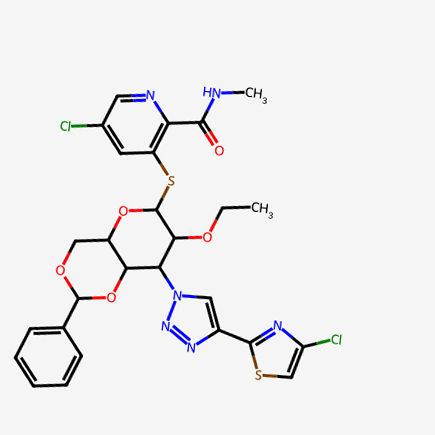 CCOC1C(Sc2cc(Cl)cnc2C(=O)NC)OC2COC(c3ccccc3)OC2C1n1cc(-c2nc(Cl)cs2)nn1